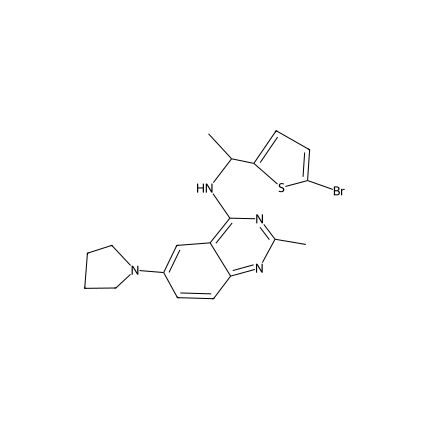 Cc1nc(NC(C)c2ccc(Br)s2)c2cc(N3CCCC3)ccc2n1